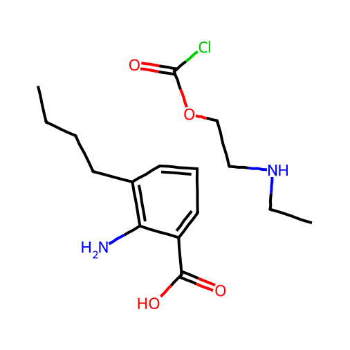 CCCCc1cccc(C(=O)O)c1N.CCNCCOC(=O)Cl